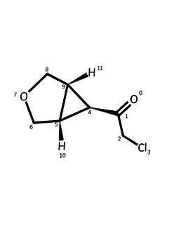 O=C(CCl)[C@H]1[C@@H]2COC[C@@H]21